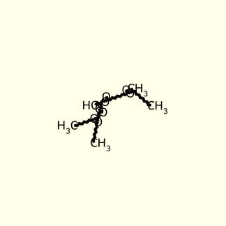 CCCCCCCCCC(C)OC(=O)CCCCCCCC(=O)OCC(CO)COC(=O)CCC(OCCCCCCCC)OCCCCCCCC